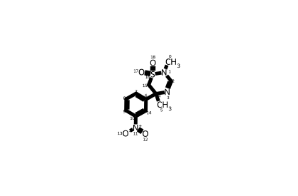 CN1C=NC(C)(c2cccc([N+](=O)[O-])c2)CS1(=O)=O